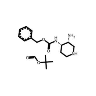 CC(C)(C)OC=O.N[C@@H]1CNCC[C@@H]1NC(=O)OCc1ccccc1